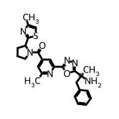 Cc1cc(C(=O)N2CCCC2c2nc(C)cs2)cc(-c2nnc([C@](C)(N)Cc3ccccc3)o2)n1